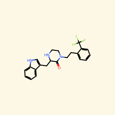 O=C1C(Cc2c[nH]c3ccccc23)NCCN1CCc1ccccc1C(F)(F)F